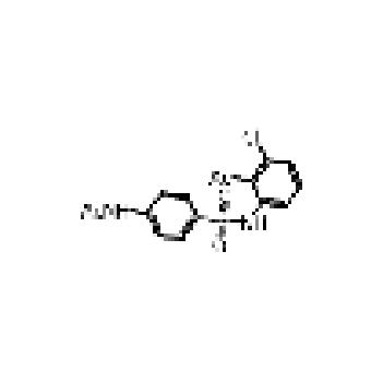 CC(=O)Nc1ccc(S(=O)(=O)Nc2cccc(Cl)c2C(C)=O)cc1